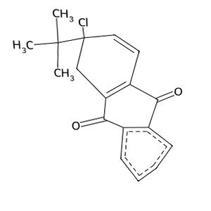 CC(C)(C)C1(Cl)C=CC2=C(C1)C(=O)c1ccccc1C2=O